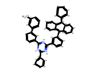 Cc1cccc(-c2cccc(-c3nc(-c4ccccc4)nc(-c4cccc(-c5c6ccccc6c(-c6ccccc6)c6ccccc56)c4)n3)c2)c1